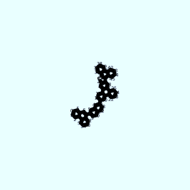 c1ccc2c(c1)cc(-c1ccc3ccc(-c4ccc5c(c4)c4ccccc4c4cc6c(cc54)sc4c5ccccc5c5ccccc5c64)cc3c1)c1ccccc12